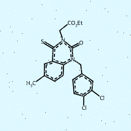 CCOC(=O)Cn1c(=S)c2cc(C)ccc2n(Cc2ccc(Cl)c(Cl)c2)c1=O